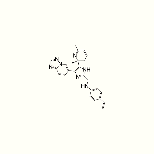 C=Cc1ccc(NCc2nc(-c3ccc4ncnn4c3)c([C@@]3(C)CC=CC(C)=N3)[nH]2)cc1